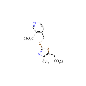 CCOC(=O)Cc1sc(SCc2ccncc2C(=O)OCC)nc1C